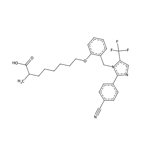 CC(CCCCCCOc1ccccc1Cn1c(C(F)(F)F)cnc1-c1ccc(C#N)cc1)C(=O)O